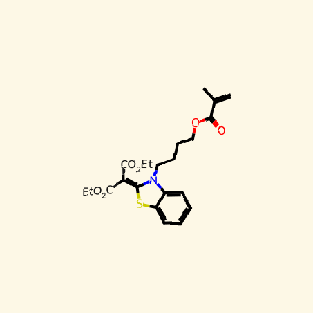 C=C(C)C(=O)OCCCCN1C(=C(C(=O)OCC)C(=O)OCC)Sc2ccccc21